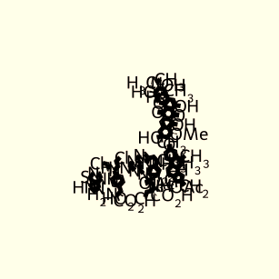 C=C1C[C@H]2[C@@H]3C=C(C)C4=CC(=O)CC[C@]4(C)[C@H]3CC[C@]2(C)[C@@]1(OC(C)=O)C(C)=O.CN(Cc1cnc2nc(N)nc(N)c2n1)c1ccc(C(=O)N[C@@H](CCC(=O)O)C(=O)O)cc1.CO[C@@H]1C[C@](C)(O)Cc2cc3c(c(O)c21)C(=O)c1c(O)cc2c(c1C3=O)O[C@@H]1O[C@@]2(C)[C@H](O)[C@@H](N(C)C)[C@@H]1O.N[C@@H](Cc1ccc(N(CCCl)CCCl)cc1)C(=O)O.S=c1nc[nH]c2nc[nH]c12